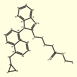 CCOC(=O)CCCSc1nc2cccnc2n1-c1cccc2c(CC3CC3)cccc12